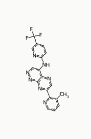 Cc1cccnc1-c1cnc2c(Nc3ccc(C(F)(F)F)cn3)cnnc2n1